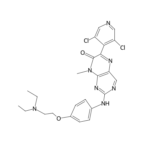 CCN(CC)CCOc1ccc(Nc2ncc3nc(-c4c(Cl)cncc4Cl)c(=O)n(C)c3n2)cc1